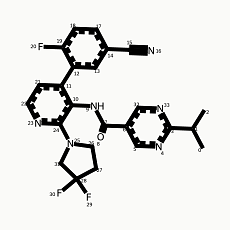 CC(C)c1ncc(C(=O)Nc2c(-c3cc(C#N)ccc3F)ccnc2N2CCC(F)(F)C2)cn1